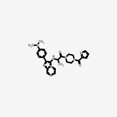 CC(Nc1c(-c2ccc(N(C)C)cc2)nc2cnccn12)C(=O)N1CCN(C(=O)c2ccco2)CC1